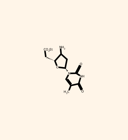 CCOC(=O)C[C@H]1O[C@@H](n2cc(C)c(=O)[nH]c2=O)CC1N